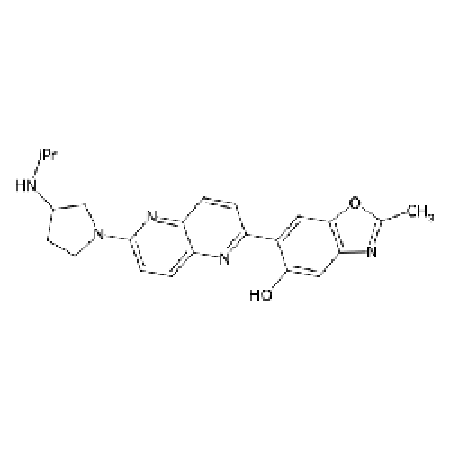 Cc1nc2cc(O)c(-c3ccc4nc(N5CCC(NC(C)C)C5)ccc4n3)cc2o1